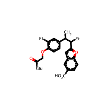 CCc1cc(C(C)C(CC)c2cc3cc(C(=O)O)ccc3o2)ccc1OCC(=O)C(C)(C)C